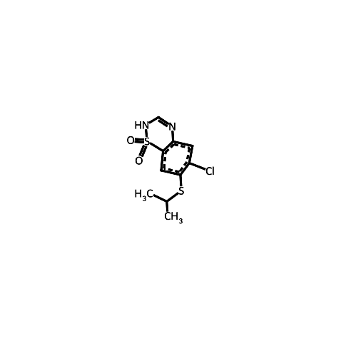 CC(C)Sc1cc2c(cc1Cl)N=CNS2(=O)=O